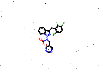 O=C(O)N(Cc1cncnc1)n1nc(Cc2c(F)ccc(F)c2F)c2ccccc21